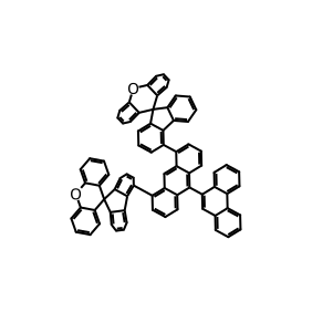 c1ccc2c(c1)Oc1ccccc1C21c2ccccc2-c2c(-c3cccc4c(-c5cc6ccccc6c6ccccc56)c5cccc(-c6cccc7c6-c6ccccc6C76c7ccccc7Oc7ccccc76)c5cc34)cccc21